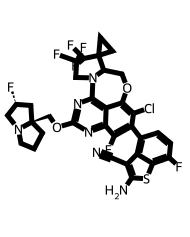 N#Cc1c(N)sc2c(F)ccc(-c3c(Cl)c4c5c(nc(OC[C@@]67CCCN6C[C@H](F)C7)nc5c3F)N(CC(F)F)C(C3(C(F)F)CC3)CO4)c12